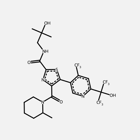 CC1CCCCN1C(=O)c1nc(C(=O)NCC(C)(C)O)sc1-c1cnc(C(O)(C(F)(F)F)C(F)(F)F)cc1C(F)(F)F